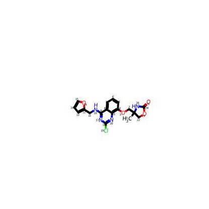 CC1(COc2cccc3c(NCc4ccco4)nc(Cl)nc23)COC(=O)N1